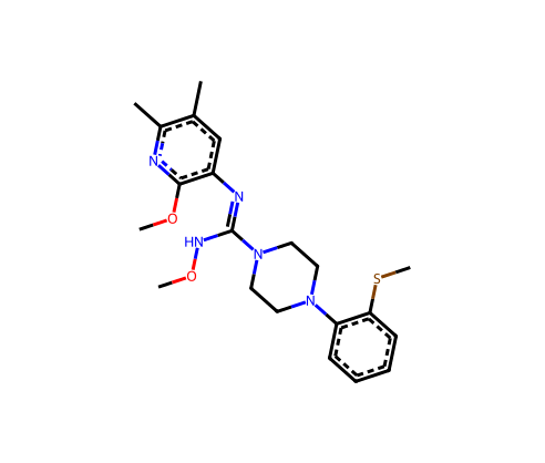 CONC(=Nc1cc(C)c(C)nc1OC)N1CCN(c2ccccc2SC)CC1